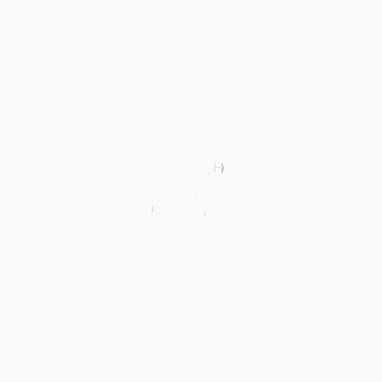 C[S+]([O-])CF